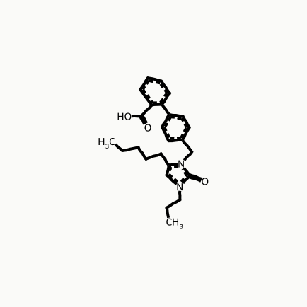 CCCCCc1cn(CCC)c(=O)n1Cc1ccc(-c2ccccc2C(=O)O)cc1